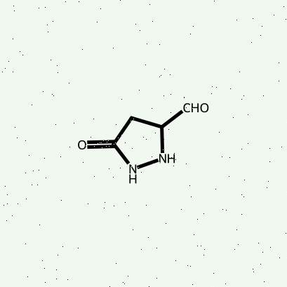 O=CC1CC(=O)NN1